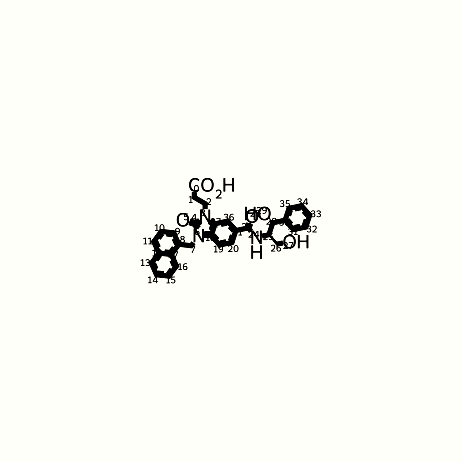 O=C(O)CCn1c(=O)n(Cc2cccc3ccccc23)c2ccc(C(=O)N[C@H](CO)[C@H](O)c3ccccc3)cc21